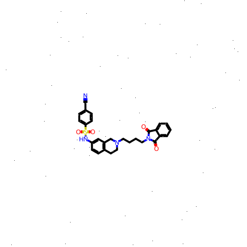 N#Cc1ccc(S(=O)(=O)Nc2ccc3c(c2)CN(CCCCN2C(=O)c4ccccc4C2=O)CC3)cc1